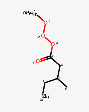 CCCCCOOOC(=O)CC(C)CC(C)(C)C